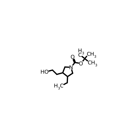 CCC1CN(C(=O)OC(C)(C)C)CC1CCO